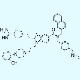 Cc1ccccc1N1CCN(CCCn2c(CCc3ccc(C(=N)N)cc3)nc3cc(C(=O)N(Cc4ccc(CN)cc4)Cc4ccc5ccccc5c4)ccc32)CC1